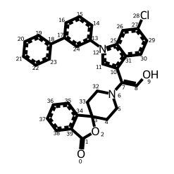 O=C1OC2(CCN(/C(=C/O)c3cn(-c4cccc(-c5ccccc5)c4)c4cc(Cl)ccc34)CC2)c2ccccc21